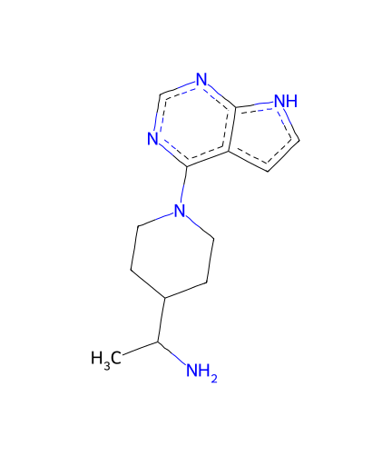 CC(N)C1CCN(c2ncnc3[nH]ccc23)CC1